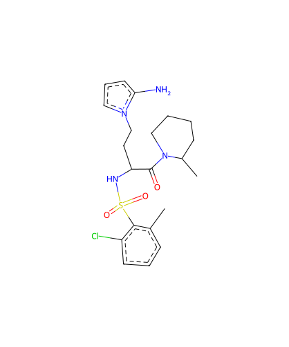 Cc1cccc(Cl)c1S(=O)(=O)NC(CCn1cccc1N)C(=O)N1CCCCC1C